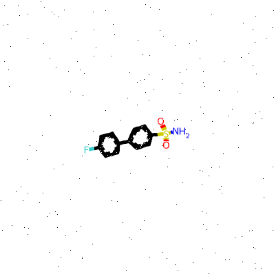 NS(=O)(=O)c1ccc(-c2ccc(F)cc2)cc1